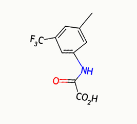 Cc1cc(NC(=O)C(=O)O)cc(C(F)(F)F)c1